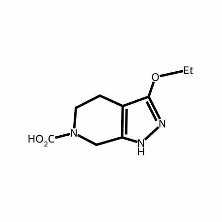 CCOc1n[nH]c2c1CCN(C(=O)O)C2